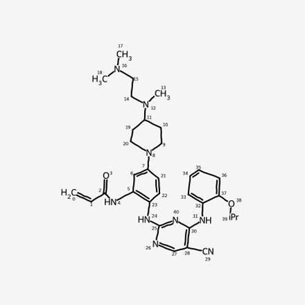 C=CC(=O)Nc1cc(N2CCC(N(C)CCN(C)C)CC2)ccc1Nc1ncc(C#N)c(Nc2ccccc2OC(C)C)n1